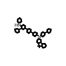 CC1(C)c2ccccc2-c2cc(N(c3ccc(-c4ccccc4)cc3)c3ccc(-c4ccc(-c5ccc(Nc6ccccc6)c(-c6ccccc6)c5)cc4)cc3)ccc21